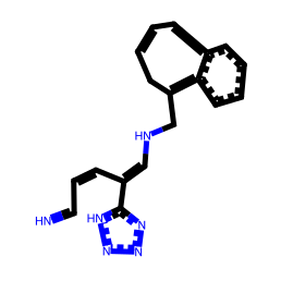 N=C/C=C\C(=C/NCC1=c2ccccc2=CC=CC1)c1nnn[nH]1